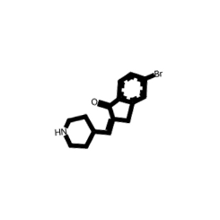 O=C1C(=CC2CCNCC2)Cc2cc(Br)ccc21